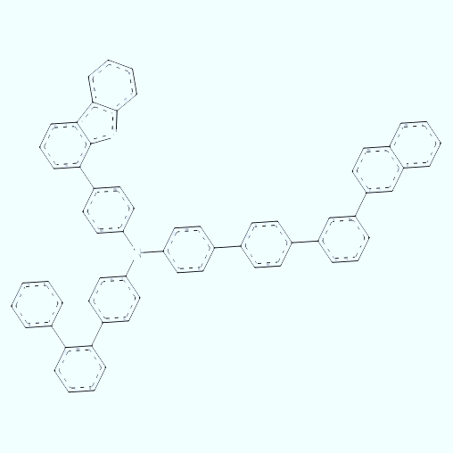 c1ccc(-c2ccccc2-c2ccc(N(c3ccc(-c4ccc(-c5cccc(-c6ccc7ccccc7c6)c5)cc4)cc3)c3ccc(-c4cccc5c4sc4ccccc45)cc3)cc2)cc1